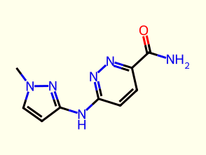 Cn1ccc(Nc2ccc(C(N)=O)nn2)n1